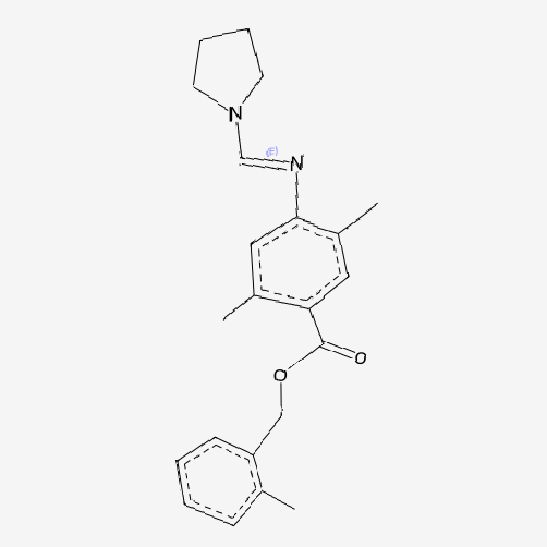 Cc1ccccc1COC(=O)c1cc(C)c(/N=C/N2CCCC2)cc1C